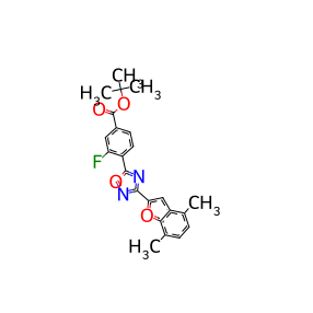 Cc1ccc(C)c2oc(-c3noc(-c4ccc(C(=O)OC(C)(C)C)cc4F)n3)cc12